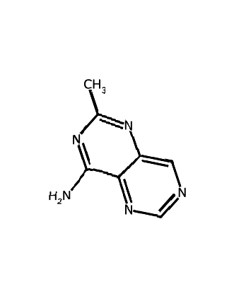 Cc1nc(N)c2ncncc2n1